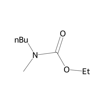 [CH2]COC(=O)N(C)CCCC